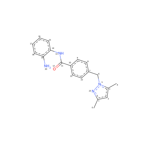 Cc1cc(C)n(Cc2ccc(C(=O)Nc3ccccc3N)cc2)n1